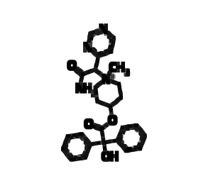 C[N+]1(C(C(N)=O)c2ccncn2)CCC(OC(=O)C(O)(c2ccccc2)c2ccccc2)CC1